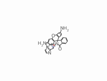 Cn1ccnc1/C=N/N1C(=O)c2ccccc2C12c1ccc(N)cc1Oc1cc(N)ccc12